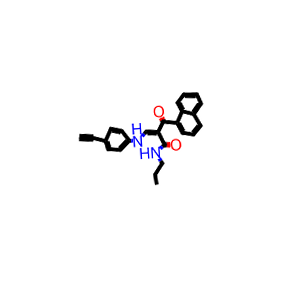 C#Cc1ccc(NC=C(C(=O)NCCC)C(=O)c2cccc3ccccc23)cc1